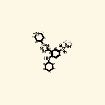 CNS(=O)(=O)c1ccc(NC2CCCCC2)c(-c2nnn(C3CCNCC3)n2)c1